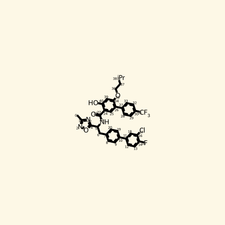 Cc1noc(C(Cc2ccc(-c3ccc(F)c(Cl)c3)cc2)NC(=O)c2cc(-c3ccc(C(F)(F)F)cc3)c(OCCC(C)C)cc2O)n1